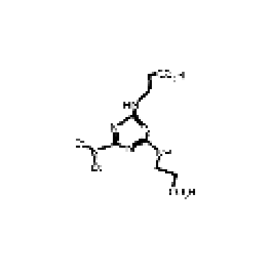 CCN(CC)c1nc(NCCC(=O)O)nc(NCCC(=O)O)n1